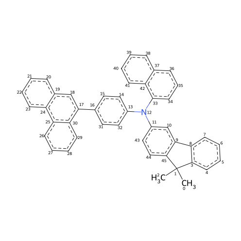 CC1(C)c2ccccc2-c2cc(N(c3ccc(-c4cc5ccccc5c5ccccc45)cc3)c3cccc4ccccc34)ccc21